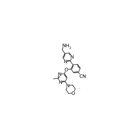 Cc1nc(Oc2cc(C#N)ccc2-c2ncc(CN)cn2)cc(N2CCO[C@@H](C)C2)n1